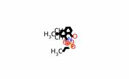 CCCCS(=O)(=O)ON1C(=O)c2cccc3cc(C(C)(C)C)cc(c23)C1=O